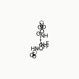 COc1cc(S(=O)(=O)N2CCCCC2)ccc1NCC#Cc1cc2c(NC3CCS(=O)(=O)CC3)cccc2n1CC(F)(F)F